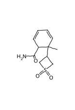 CC1(C2CS(=O)(=O)C2)C=CC=CC1C(N)=O